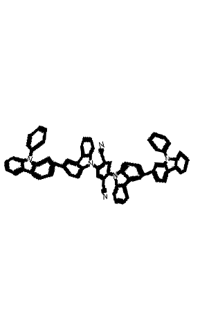 N#Cc1cc(-n2c3ccccc3c3cc(-c4ccc5c6ccccc6n(-c6ccccc6)c5c4)ccc32)c(C#N)cc1-n1c2ccccc2c2cc(-c3ccc4c5ccccc5n(-c5ccccc5)c4c3)ccc21